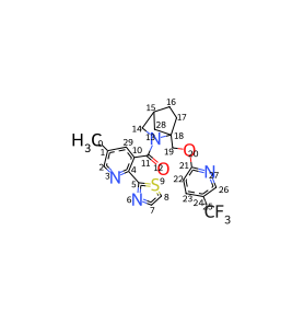 Cc1cnc(-c2nccs2)c(C(=O)N2CC3CCC2(COc2ccc(C(F)(F)F)cn2)C3)c1